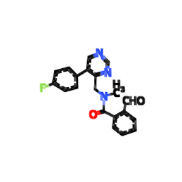 CN(Cc1ncncc1-c1ccc(F)cc1)C(=O)c1ccccc1C=O